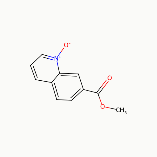 COC(=O)c1ccc2ccc[n+]([O-])c2c1